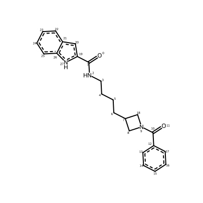 O=C(NCCCCC1CN(C(=O)c2ccccc2)C1)c1cc2ccccc2[nH]1